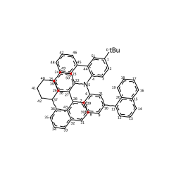 CC(C)(C)c1ccc(N(c2cccc(-c3cccc4ccccc34)c2)c2ccccc2-c2cccc3cccc(C4CCCCC4)c23)c(-c2ccccc2)c1